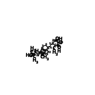 C=C1C(=CC=C2CCC[C@@]3(C)C2CC[C@@H]3[C@H](C)CCCC(C)(C)O)C[C@@H](O)C(=O)[C@@H]1O